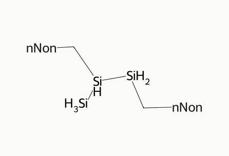 CCCCCCCCCC[SiH2][SiH]([SiH3])CCCCCCCCCC